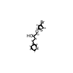 O[C@H](CCc1cccnc1)COc1cc(Br)cs1